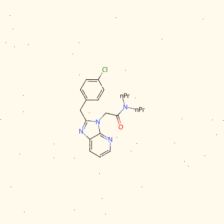 CCCN(CCC)C(=O)Cn1c(Cc2ccc(Cl)cc2)nc2cccnc21